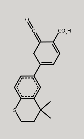 CC1(C)CCSc2ccc(C3=CC=C(C(=O)O)C(=C=O)C3)cc21